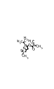 CC(C)n1nc(C[S+](C)[O-])cc1OC(=O)N(C)C